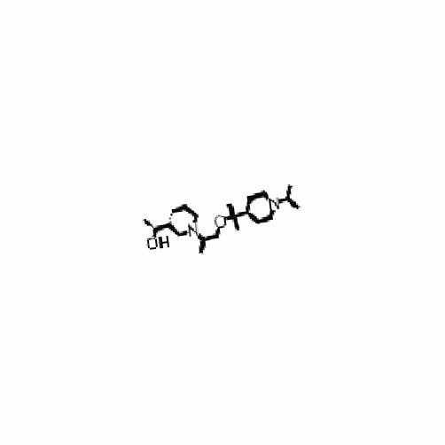 CC(C)N1CCC(C(C)(C)OCC(C)N2CCC[C@@H]([C@H](C)O)C2)CC1